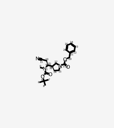 CN(C(=O)OC(C)(C)C)[C@@H](CC#N)[C@@H]1CCN(C(=O)OCc2ccccc2)C1